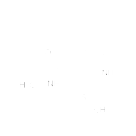 CNC(=O)c1c(SC)[nH]c2ccccc12